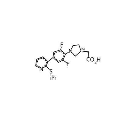 CC(C)Sc1ncccc1-c1cc(F)c(N2CC[C@@H](CC(=O)O)C2)c(F)c1